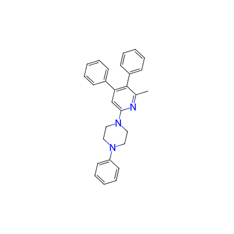 Cc1nc(N2CCN(c3ccccc3)CC2)cc(-c2ccccc2)c1-c1ccccc1